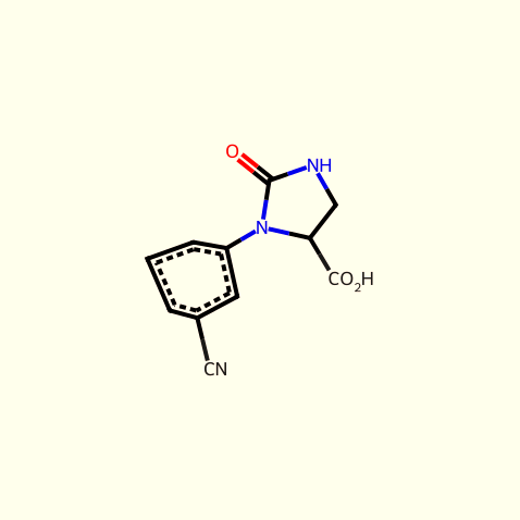 N#Cc1cccc(N2C(=O)NCC2C(=O)O)c1